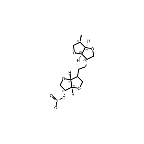 C[C@@H]1CO[C@@H]2[C@@H](CCC3CO[C@H]4[C@@H]3OC[C@H]4O[N+](=O)[O-])CO[C@@H]21